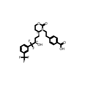 O=C(O)c1ccc(CCN2C(=O)OCC[C@@H]2CC[C@@H](O)C(F)(F)c2cccc(C(F)(F)F)c2)cc1